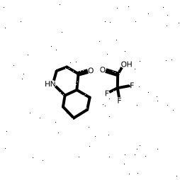 O=C(O)C(F)(F)F.O=C1CCNC2CCCCC12